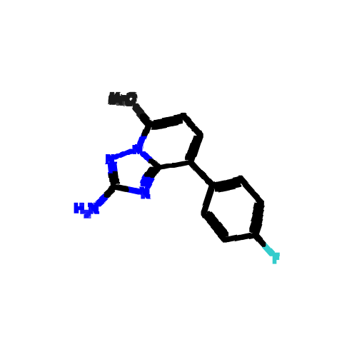 COc1ccc(-c2ccc(F)cc2)c2nc(N)nn12